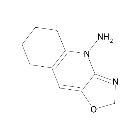 NN1C2=NCOC2=CC2=C1CCCC2